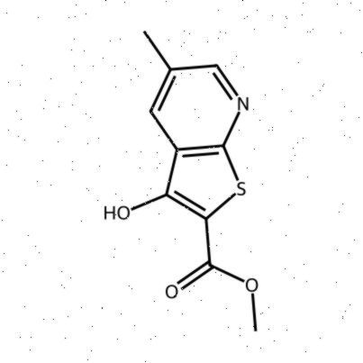 COC(=O)c1sc2ncc(C)cc2c1O